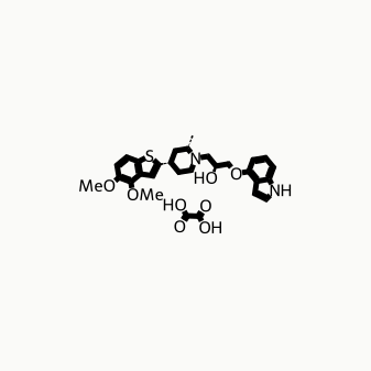 COc1ccc2sc([C@H]3CCN(C[C@H](O)COc4cccc5[nH]ccc45)[C@@H](C)C3)cc2c1OC.O=C(O)C(=O)O